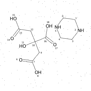 C1CNCCN1.O=C(O)CC(O)(CC(=O)O)C(=O)O